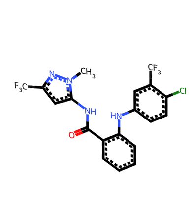 Cn1nc(C(F)(F)F)cc1NC(=O)c1ccccc1Nc1ccc(Cl)c(C(F)(F)F)c1